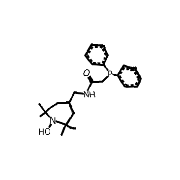 CC1(C)CC(CNC(=O)CP(c2ccccc2)c2ccccc2)CC(C)(C)N1O